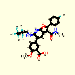 CNC(=O)c1c(-c2ccc(F)cc2)oc2nc(NCC(F)(F)C(F)(F)F)c(-c3ccc(OC)c(C(=O)O)c3)cc12